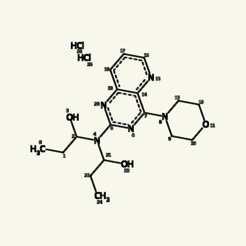 CCC(O)N(c1nc(N2CCOCC2)c2ncccc2n1)C(O)CC.Cl.Cl